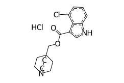 Cl.O=C(OCC12CCN(CC1)CC2)c1c[nH]c2cccc(Cl)c12